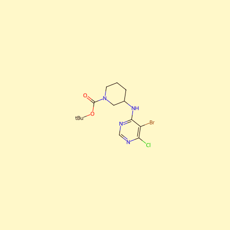 CC(C)(C)OC(=O)N1CCCC(Nc2ncnc(Cl)c2Br)C1